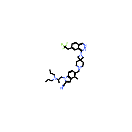 CCCN(CCC)C(C)Cn1c(C#N)cc2c(C)c(CN3CCC4(CC3)CN(c3nncc5ccc(CC(F)(F)F)cc35)C4)ccc21